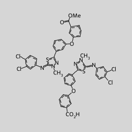 COC(=O)c1cccc(Oc2cccc(-c3nn(C)c(=Nc4ccc(Cl)c(Cl)c4)s3)c2)c1.Cn1nc(-c2cccc(Oc3cccc(C(=O)O)c3)c2)sc1=Nc1ccc(Cl)c(Cl)c1